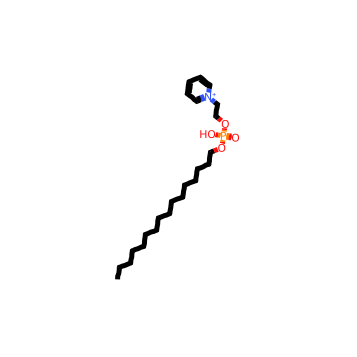 CCCCCCCCCCCCCCCCOP(=O)(O)OCC[n+]1ccccc1